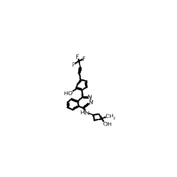 CC1(O)CC(Nc2nnc(-c3ccc(C#CC(F)(F)F)cc3O)c3ccccc23)C1